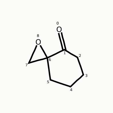 O=C1CCCCC12CO2